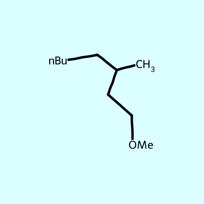 CCCCCC(C)CCOC